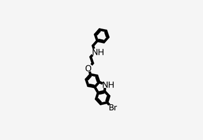 Brc1ccc2c(c1)[nH]c1cc(OCCNCc3ccccc3)ccc12